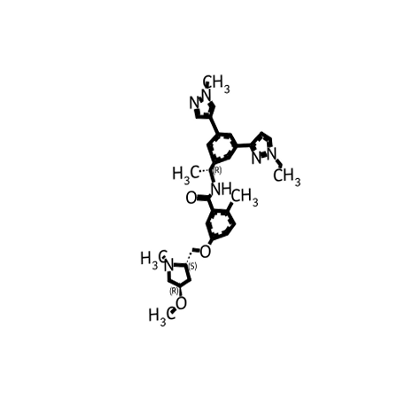 CCn1ccc(-c2cc(-c3cnn(C)c3)cc([C@@H](C)NC(=O)c3cc(OC[C@@H]4C[C@@H](OC)CN4C)ccc3C)c2)n1